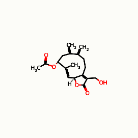 C=C1CCC2=C(CO)C(=O)O[C@H]2/C=C(\C)[C@H](OC(C)=O)CC1=C